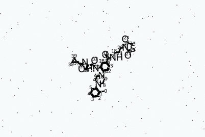 Cc1ccccc1N1CCN(c2ccc(C(=O)NCCCN3C(=O)CSC3=O)cc2NC(=O)c2coc(C3CC3)n2)CC1